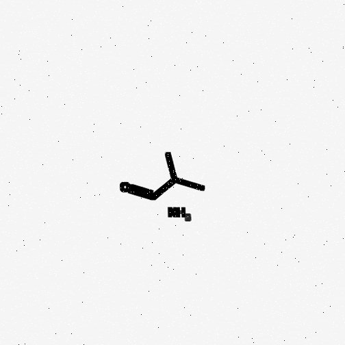 CC(C)C=O.N